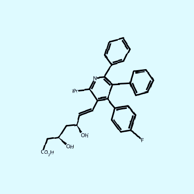 CC(C)c1nc(-c2ccccc2)c(-c2ccccc2)c(-c2ccc(F)cc2)c1C=C[C@@H](O)C[C@@H](O)CC(=O)O